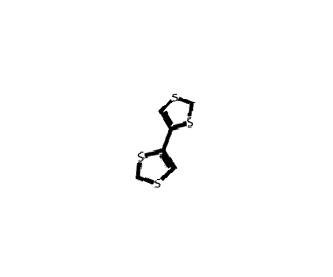 C1=C(C2=CSCS2)SCS1